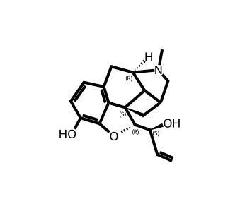 C=C[C@H](O)[C@@H]1Oc2c(O)ccc3c2[C@@]12CC1CN(C)[C@H](C3)C12